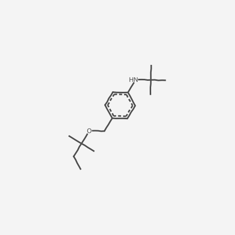 CCC(C)(C)OCc1ccc(NC(C)(C)C)cc1